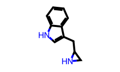 c1ccc2c(CC3CN3)c[nH]c2c1